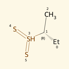 CC[C@@H](C)[SH](=S)=S